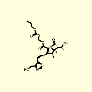 CCCOC(=O)OCOC(=O)C1=C(S/C=C\c2scnc2CO)[C@H](C)[C@@H]2[C@@H]([C@@H](C)O)C(=O)N12